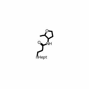 CCCCCCCCCC(=O)NC1CCOC1C